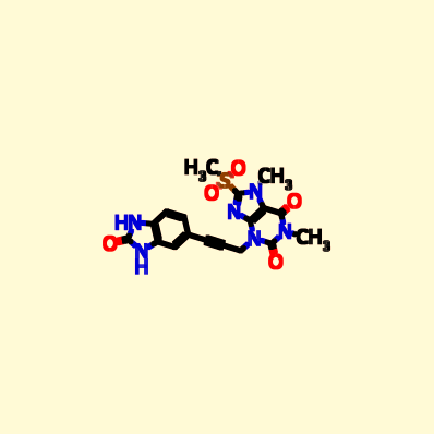 Cn1c(=O)c2c(nc(S(C)(=O)=O)n2C)n(CC#Cc2ccc3[nH]c(=O)[nH]c3c2)c1=O